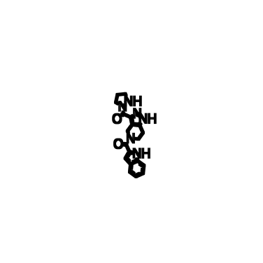 O=C(c1cc2ccccc2[nH]1)N1CCc2[nH]nc(C(=O)N3CCCN3)c2C1